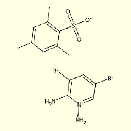 Cc1cc(C)c(S(=O)(=O)[O-])c(C)c1.Nc1c(Br)cc(Br)c[n+]1N